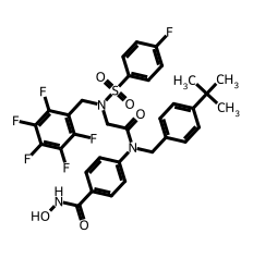 CC(C)(C)c1ccc(CN(C(=O)CN(Cc2c(F)c(F)c(F)c(F)c2F)S(=O)(=O)c2ccc(F)cc2)c2ccc(C(=O)NO)cc2)cc1